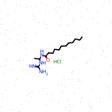 CCCCCCCCCCCC(=O)NC(C)NC(=N)N.Cl